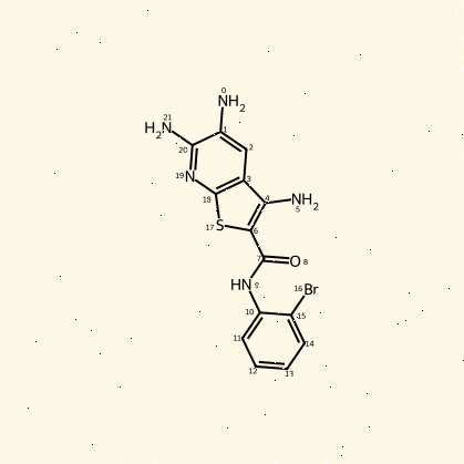 Nc1cc2c(N)c(C(=O)Nc3ccccc3Br)sc2nc1N